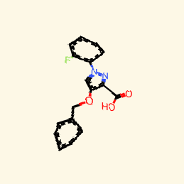 O=C(O)c1nn(-c2ccccc2F)cc1OCc1ccccc1